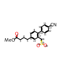 COC(=O)CCCc1ccc(-c2ccc(C#N)cc2)c(C=S(=O)=O)c1